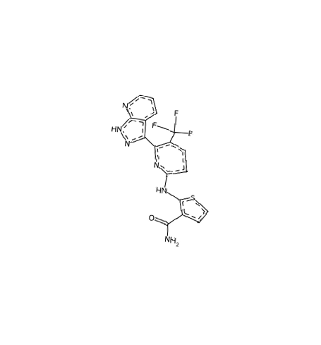 NC(=O)c1ccsc1Nc1ccc(C(F)(F)F)c(-c2n[nH]c3ncccc23)n1